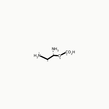 N.NCCOC(=O)O